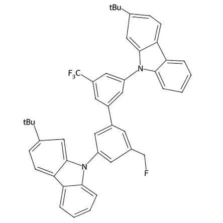 CC(C)(C)c1ccc2c3ccccc3n(-c3cc(CF)cc(-c4cc(-n5c6ccccc6c6ccc(C(C)(C)C)cc65)cc(C(F)(F)F)c4)c3)c2c1